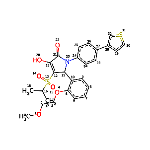 COCCOc1ccccc1C1C(S(=O)(=O)C(C)C)=C(O)C(=O)N1c1ccc(-c2ccsc2)cc1